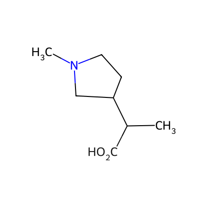 CC(C(=O)O)C1CCN(C)C1